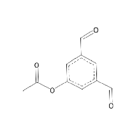 CC(=O)Oc1cc(C=O)cc(C=O)c1